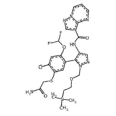 C[Si](C)(C)CCOCn1ncc(NC(=O)c2cnn3cccnc23)c1-c1cc(SCC(N)=O)c(Cl)cc1OC(F)F